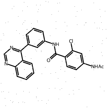 CC(=O)Nc1ccc(C(=O)Nc2cccc(-c3ncnc4ccccc34)c2)c(Cl)c1